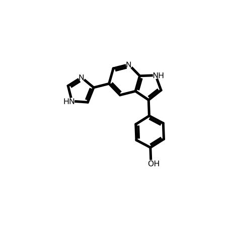 Oc1ccc(-c2c[nH]c3ncc(-c4c[nH]cn4)cc23)cc1